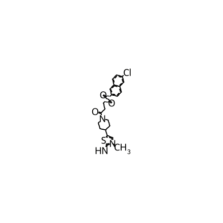 Cn1cc(C2CCN(C(=O)CCS(=O)(=O)c3ccc4cc(Cl)ccc4c3)CC2)sc1=N